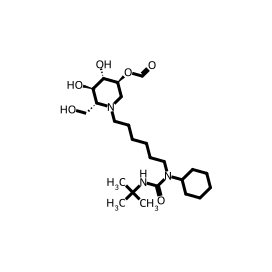 CC(C)(C)NC(=O)N(CCCCCCN1C[C@H](OC=O)[C@@H](O)[C@H](O)[C@H]1CO)C1CCCCC1